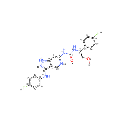 COC[C@@H](NC(=O)Nc1cc2[nH]nc(Nc3ccc(F)cc3)c2cn1)c1ccc(F)cc1